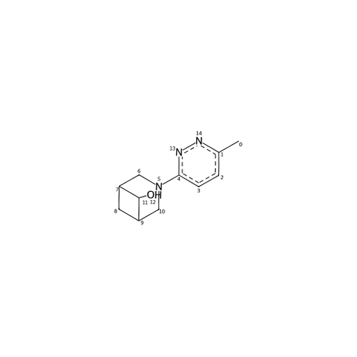 Cc1ccc(N2CC3CC(C2)C3O)nn1